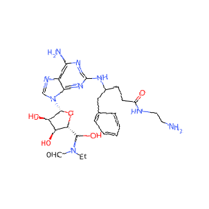 CCN(C=O)C(O)[C@H]1O[C@@H](n2cnc3c(N)nc(NC(CCC(=O)NCCN)Cc4ccccc4)nc32)[C@H](O)[C@@H]1O